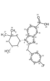 C[C@H]1C[C@@H](n2c(Cc3ccc(F)cc3)nc3cc(C(=O)O)ccc32)CC(C)(C)C1